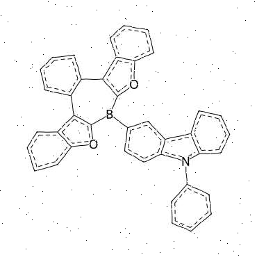 c1ccc(-n2c3ccccc3c3cc(B4c5oc6ccccc6c5-c5ccccc5-c5c4oc4ccccc54)ccc32)cc1